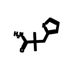 CC(C)(Cc1cccs1)C(N)=O